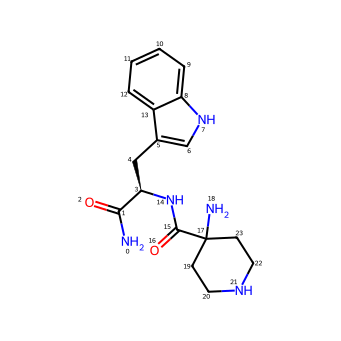 NC(=O)[C@@H](Cc1c[nH]c2ccccc12)NC(=O)C1(N)CCNCC1